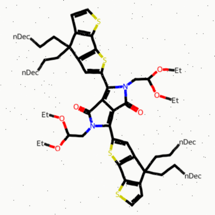 CCCCCCCCCCCCC1(CCCCCCCCCCCC)c2ccsc2-c2sc(C3=C4C(=O)N(CC(OCC)OCC)C(c5cc6c(s5)-c5sccc5C6(CCCCCCCCCCCC)CCCCCCCCCCCC)=C4C(=O)N3CC(OCC)OCC)cc21